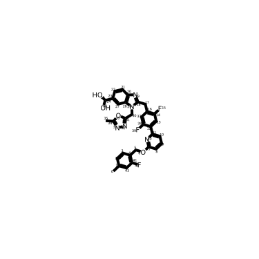 Cc1ccc(COc2cccc(-c3cc(F)c(Cc4nc5ccc(C(O)O)cc5n4Cc4nnc(C)o4)cc3F)n2)c(F)c1